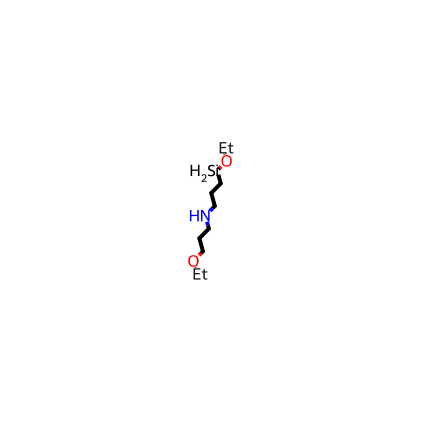 CCOCCCNCCC[SiH2]OCC